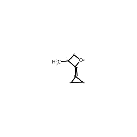 CC1COC1=C1CC1